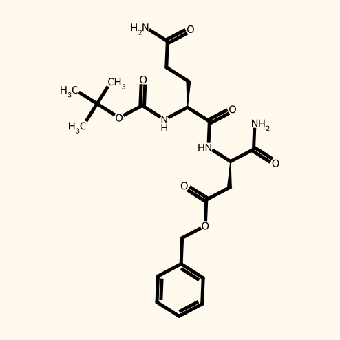 CC(C)(C)OC(=O)N[C@@H](CCC(N)=O)C(=O)N[C@H](CC(=O)OCc1ccccc1)C(N)=O